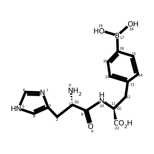 N[C@@H](Cc1c[nH]cn1)C(=O)N[C@@H](Cc1ccc(B(O)O)cc1)C(=O)O